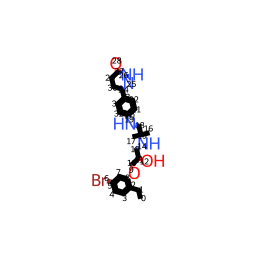 CCc1ccc(Br)cc1OCC(O)CNC(C)(C)CNc1ccc(C2=NNC(=O)CC2)cc1